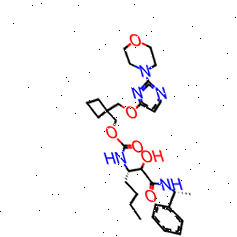 CCCC[C@H](NC(=O)OCC1(COc2ccnc(N3CCOCC3)n2)CCC1)C(O)C(=O)N[C@H](C)c1ccccc1